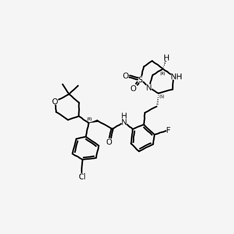 CC1(C)CC([C@@H](CC(=O)Nc2cccc(F)c2CC[C@H]2CN[C@@H]3CCS(=O)(=O)N2C3)c2ccc(Cl)cc2)CCO1